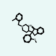 COc1ccccc1C1(C2CCN(Cc3ccccc3C)CC2)Cc2ccccc2C1=N